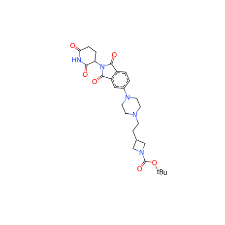 CC(C)(C)OC(=O)N1CC(CCN2CCN(c3ccc4c(c3)C(=O)N(C3CCC(=O)NC3=O)C4=O)CC2)C1